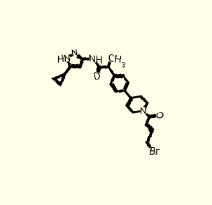 CC(C(=O)Nc1cc(C2CC2)[nH]n1)c1ccc(C2=CCN(C(=O)C=CCBr)CC2)cc1